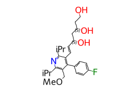 COCc1c(C(C)C)nc(C(C)C)c(C=C[C@@H](O)C[C@@H](O)CCO)c1-c1ccc(F)cc1